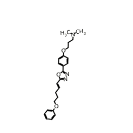 CN(C)CCCOc1ccc(-c2nnc(/C=C/CCCOc3ccccc3)o2)cc1